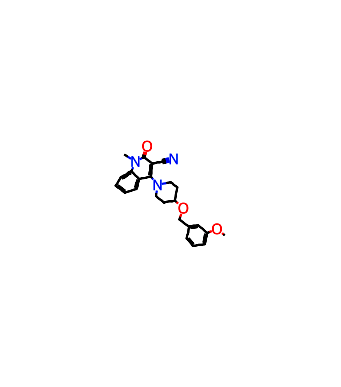 COc1cccc(COC2CCN(c3c(C#N)c(=O)n(C)c4ccccc34)CC2)c1